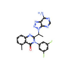 Cc1cccc2nc(C(C)n3nnc4c(N)ncnc43)n(-c3cc(F)cc(F)c3)c(=O)c12